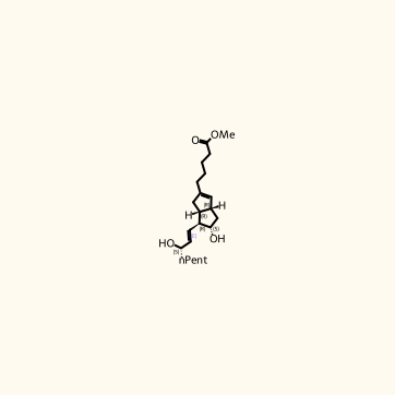 CCCCC[C@H](O)/C=C/[C@H]1[C@@H]2CC(CCCCC(=O)OC)=C[C@@H]2C[C@@H]1O